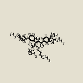 CCCCCN(C(=O)OCC)c1c(C(=O)c2ccc3c(c2)nc(C)n3C)oc2ccc(-c3cnn(C)c3)cc12